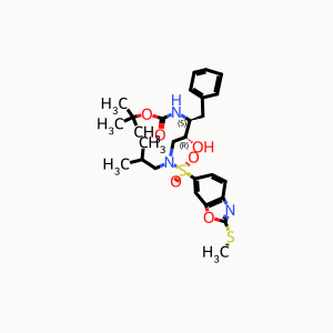 CSc1nc2ccc(S(=O)(=O)N(CC(C)C)C[C@@H](O)[C@H](Cc3ccccc3)NC(=O)OC(C)(C)C)cc2o1